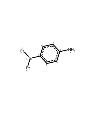 CC[Si](CC)c1ccc(N)cc1